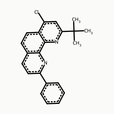 CC(C)(C)c1cc(Cl)c2ccc3ccc(-c4ccccc4)nc3c2n1